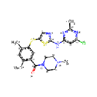 COc1cc(C)c(Sc2cnc(Nc3cc(Cl)nc(C)n3)s2)cc1C(=O)N1CCN(C(C)=O)CC1